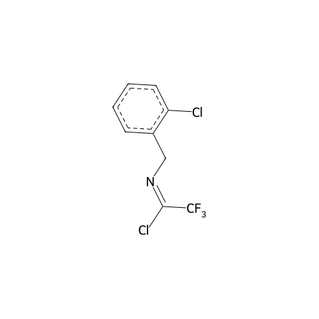 FC(F)(F)/C(Cl)=N\Cc1ccccc1Cl